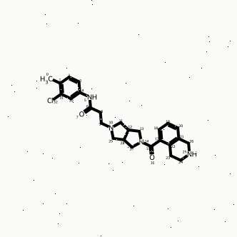 Cc1ccc(NC(=O)CCN2CC3CN(C(=O)c4cccc5c4CCNC5)CC3C2)cc1Cl